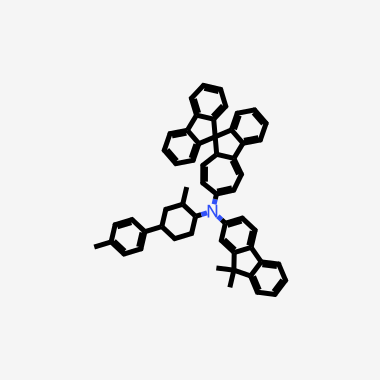 Cc1ccc(C2CCC(N(C3=CC=C4c5ccccc5C5(c6ccccc6-c6ccccc65)C4C=C3)c3ccc4c(c3)C(C)(C)c3ccccc3-4)C(C)C2)cc1